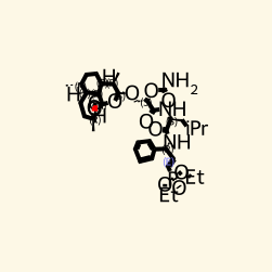 CCOP(=O)(/C=C/[C@@H](NC(=O)[C@H](CC(C)C)NC(=O)[C@H](CO[C@H]1O[C@@H]2O[C@@]3(C)CC[C@H]4[C@H](C)CC[C@@H]([C@H]1C)[C@@]24OO3)OC(N)=O)c1ccccc1)OCC